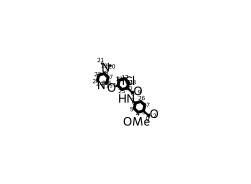 COC(=O)c1ccc(NC(=O)c2cccc(Oc3cc(N(C)C)ccn3)c2)cc1.Cl